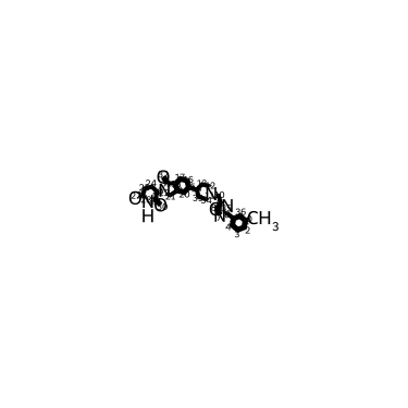 Cc1cccc(-c2noc(CN3CCC(c4ccc5c(c4)CN(C4CCC(=O)NC4=O)C5=O)CC3)n2)c1